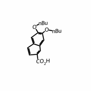 CCCCOc1cc2ccc(C(=O)O)cc2cc1OCCCC